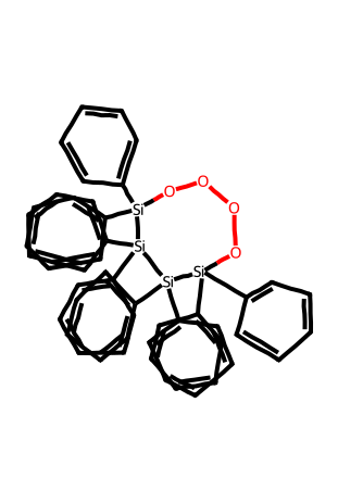 c1ccc([Si]2(c3ccccc3)OOOO[Si](c3ccccc3)(c3ccccc3)[Si](c3ccccc3)(c3ccccc3)[Si]2(c2ccccc2)c2ccccc2)cc1